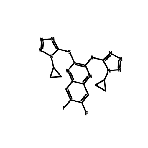 Fc1cc2nc(Sc3nnnn3C3CC3)c(Sc3nnnn3C3CC3)nc2cc1F